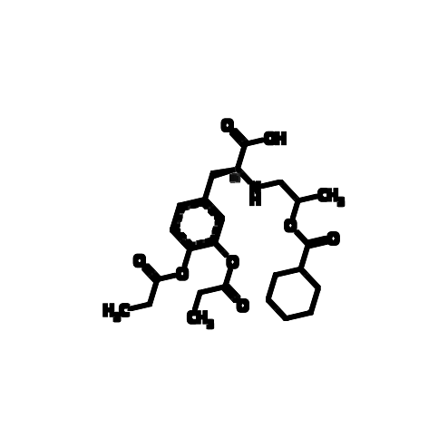 CCC(=O)Oc1ccc(C[C@H](NCC(C)OC(=O)C2CCCCC2)C(=O)O)cc1OC(=O)CC